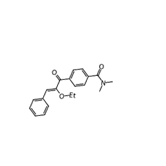 CCOC(=Cc1ccccc1)C(=O)c1ccc(C(=O)N(C)C)cc1